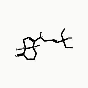 CCC(O)(C=CC[C@H](C)C1=CC[C@H]2C(=O)CCC[C@@]12C)CC